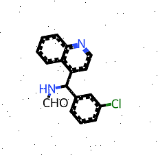 O=CNC(c1cccc(Cl)c1)c1ccnc2ccccc12